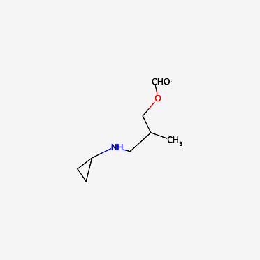 CC(CNC1CC1)CO[C]=O